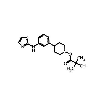 CC(C)(C)C(=O)ON1CCC(c2cccc(Nc3nccs3)c2)CC1